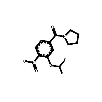 O=C(c1ccc([N+](=O)[O-])c(OC(F)F)c1)N1CCCC1